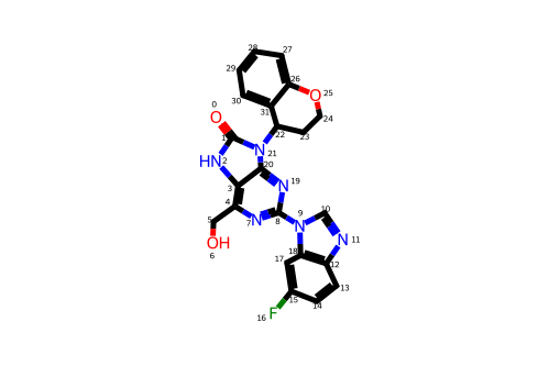 O=c1[nH]c2c(CO)nc(-n3cnc4ccc(F)cc43)nc2n1C1CCOc2ccccc21